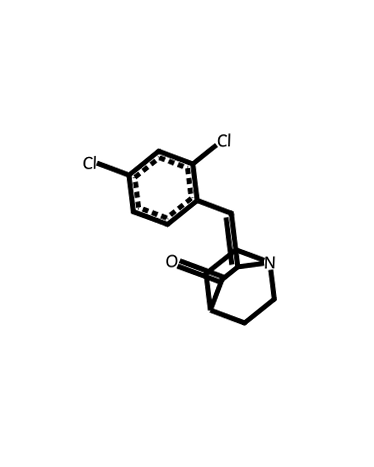 O=C1/C(=C\c2ccc(Cl)cc2Cl)N2CCC1CC2